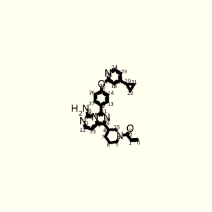 C=CC(=O)N1CCCC(c2nc(-c3ccc(Oc4cc(C5CC5)ccn4)cc3)n3c(N)nccc23)C1